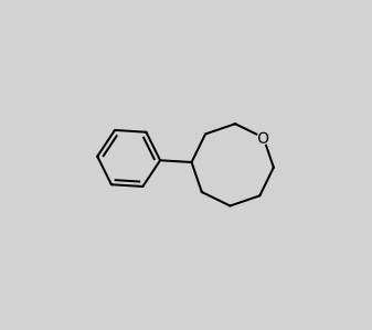 c1ccc(C2CCCCOCC2)cc1